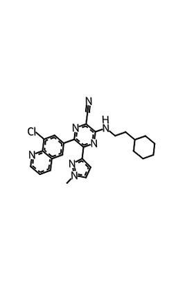 Cn1ccc(-c2nc(NCCC3CCCCC3)c(C#N)nc2-c2cc(Cl)c3ncccc3c2)n1